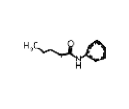 CCC[CH]C(=O)Nc1ccccc1